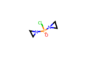 O=P(Cl)(N1CC1)N1CC1